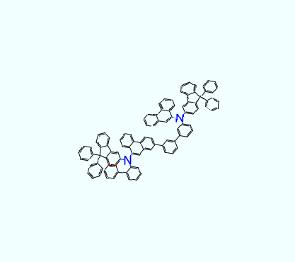 c1ccc(-c2ccccc2N(c2ccc3c(c2)-c2ccccc2C3(c2ccccc2)c2ccccc2)c2cc3cc(-c4cccc(-c5cccc(N(c6ccc7c(c6)-c6ccccc6C7(c6ccccc6)c6ccccc6)c6cc7ccccc7c7ccccc67)c5)c4)ccc3c3ccccc23)cc1